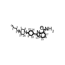 CCCCN1CCN(c2ccc(-c3cn4cccc(C(N)=O)c4n3)cc2)CC1